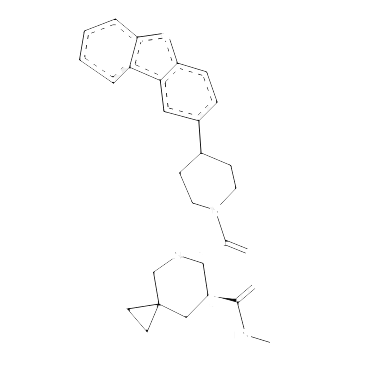 O=C(NO)[C@H]1CC2(CC2)CN[C@@H]1C(=O)N1CCC(c2ccc3oc4ccccc4c3c2)CC1